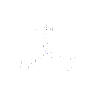 C[Si](C)(C)c1ccc(-c2ccc(N(c3ccc(-c4ccc(-n5c6ccccc6c6ccccc65)cc4)cc3)c3ccc(-c4ccc([Si](C)(C)C)cc4)cc3)cc2)cc1